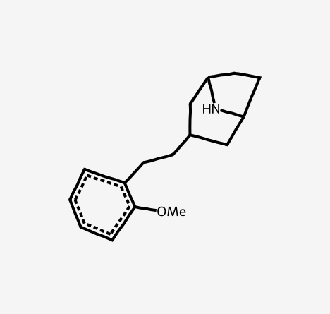 COc1ccccc1CCC1CC2CCC(C1)N2